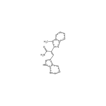 Cc1c(C(=Cc2c[nH]c3ncccc23)C(N)=O)sc2ccccc12